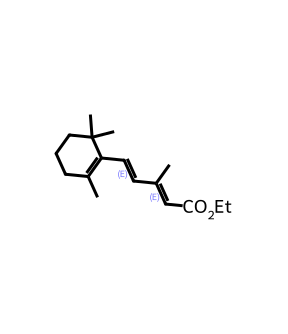 CCOC(=O)/C=C(C)/C=C/C1=C(C)CCCC1(C)C